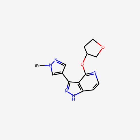 CC(C)n1cc(-c2n[nH]c3ccnc(OC4CCOC4)c23)cn1